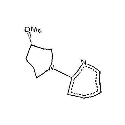 CO[C@H]1CCN(c2ccccn2)C1